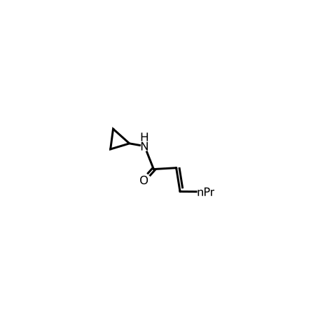 CCCC=CC(=O)NC1CC1